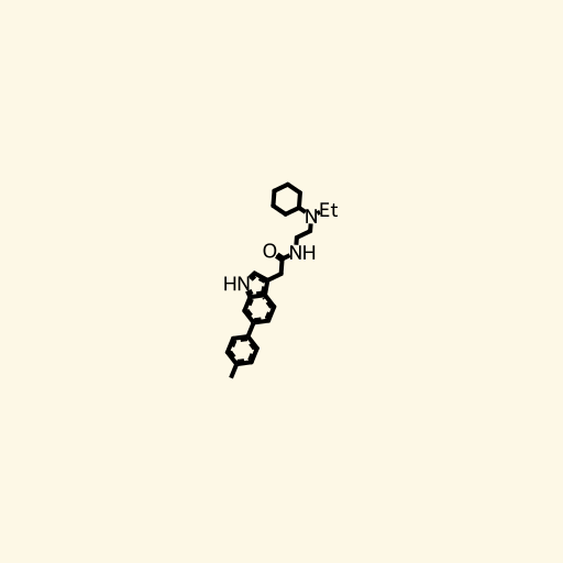 CCN(CCNC(=O)Cc1c[nH]c2cc(-c3ccc(C)cc3)ccc12)C1CCCCC1